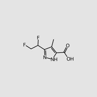 Cc1c(C(F)CF)n[nH]c1C(=O)O